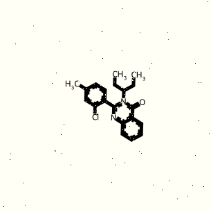 CCC(CC)n1c(-c2ccc(C)cc2Cl)nc2ccccc2c1=O